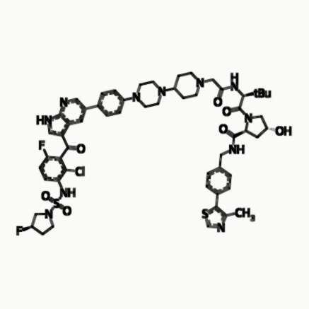 Cc1ncsc1-c1ccc(CNC(=O)[C@@H]2C[C@@H](O)CN2C(=O)[C@@H](NC(=O)CN2CCC(N3CCN(c4ccc(-c5cnc6[nH]cc(C(=O)c7c(F)ccc(NS(=O)(=O)N8CC[C@@H](F)C8)c7Cl)c6c5)cc4)CC3)CC2)C(C)(C)C)cc1